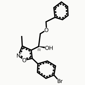 Cc1noc(-c2ccc(Br)cc2)c1[C@H](O)COCc1ccccc1